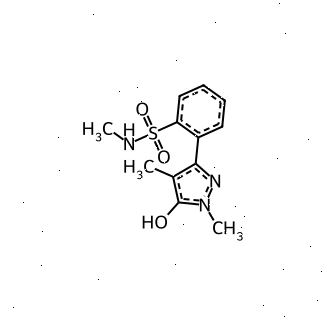 CNS(=O)(=O)c1ccccc1-c1nn(C)c(O)c1C